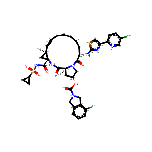 O=C1N[C@]2(C(=O)NS(=O)(=O)C3CC3)C[C@H]2/C=C\CCCCC[C@H](Nc2nc(-c3ccc(F)cn3)cs2)C(=O)N2C[C@H](OC(=O)N3Cc4cccc(F)c4C3)C[C@@H]12